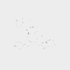 COC(=O)[C@@H](Cc1ccccc1)NC(=O)[C@H](Cc1c[nH]c2ccccc12)NC(=O)Cc1ccccc1